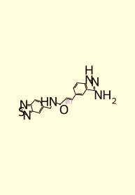 Nc1n[nH]c2ccc(/C=C/C(=O)NCc3ccc4nsnc4c3)cc12